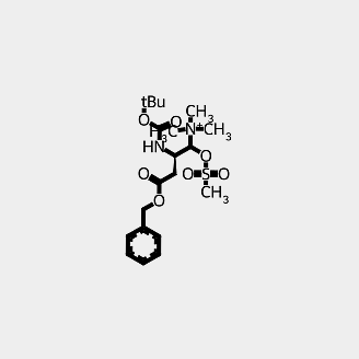 CC(C)(C)OC(=O)N[C@H](CC(=O)OCc1ccccc1)C(OS(C)(=O)=O)[N+](C)(C)C